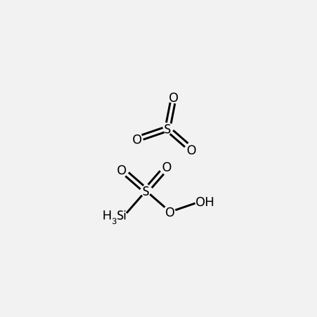 O=S(=O)([SiH3])OO.O=S(=O)=O